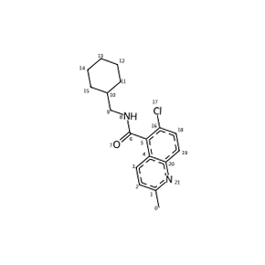 Cc1ccc2c(C(=O)NCC3CCCCC3)c(Cl)ccc2n1